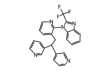 FC(F)(F)c1nc2ccccc2n1-c1ncccc1CC(c1cccnc1)c1cccnc1